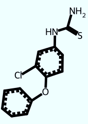 NC(=S)Nc1ccc(Oc2ccccc2)c(Cl)c1